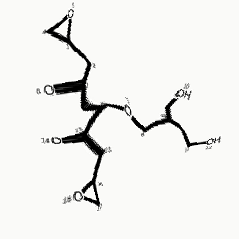 O=C(CC1CO1)C(OCC(O)CO)C(=O)CC1CO1